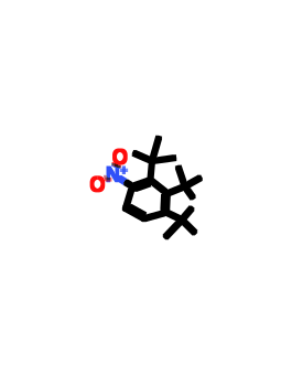 CC(C)(C)c1ccc([N+](=O)[O-])c(C(C)(C)C)c1C(C)(C)C